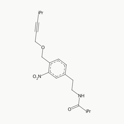 CC(C)C#CCOCc1ccc(CCNC(=O)C(C)C)cc1[N+](=O)[O-]